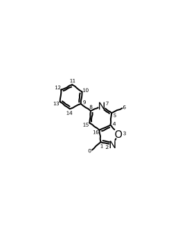 Cc1noc2c(C)nc(-c3ccccc3)cc12